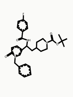 CC(C)(C)OC(=O)N1CCC(CC(NC(=O)c2ccc(F)cc2)c2ccc(=O)n(Cc3ccccc3)c2)CC1